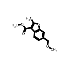 COCc1ccc2c(C(=O)OC)c(C)sc2c1